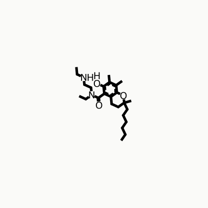 CCCCCCC1(C)CCc2c(c(C)c(C)c(O)c2C(=O)N(CC)CCNCC)O1